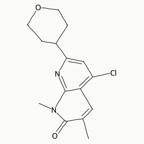 Cc1cc2c(Cl)cc(C3CCOCC3)nc2n(C)c1=O